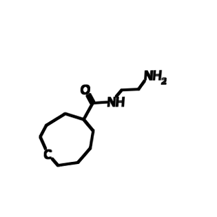 NCCNC(=O)C1CCCCCCCC1